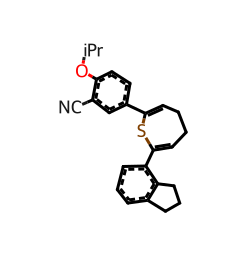 CC(C)Oc1ccc(C2=CCCC=C(c3cccc4c3CCC4)S2)cc1C#N